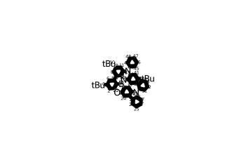 CC(C)(C)c1cc2c3c(c1)-c1cc(C(C)(C)C)cc4c1N(B3c1cc3c(cc1O2)c1ccccc1n3-c1ccccc1)c1ccc(C(C)(C)C)cc1N4c1ccccc1